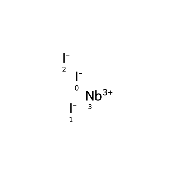 [I-].[I-].[I-].[Nb+3]